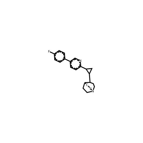 Fc1ccc(-c2ccc([C]3CC3C3CCN4CCC3CC4)nc2)cc1